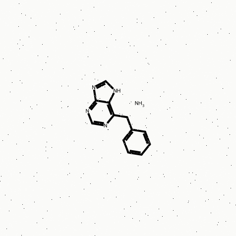 N.c1ccc(Cc2ncnc3nc[nH]c23)cc1